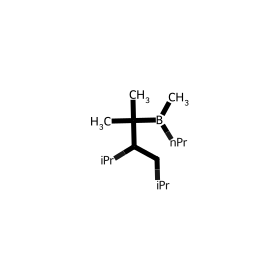 CCCB(C)C(C)(C)C(CC(C)C)C(C)C